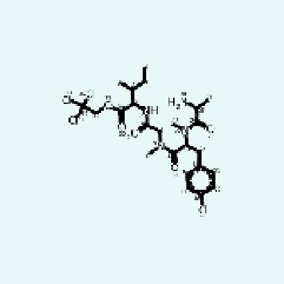 CCC(C)C(NC(=O)CN(C)C(=O)C(Cc1ccc(Cl)cc1)N(C)C(=O)C(C)N)C(=O)OCC(Cl)(Cl)Cl